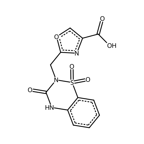 O=C(O)c1coc(CN2C(=O)Nc3ccccc3S2(=O)=O)n1